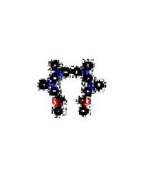 c1ccc(-c2ccc(-c3ccc(N(c4ccccc4)c4ccc(N(c5ccccc5)c5ccc(-c6ccc(N(c7ccccc7)c7ccc(N(c8ccccc8)c8ccc(-c9ccc(-c%10ccccc%10)o9)cc8)cc7)cc6)cc5)cc4)cc3)o2)cc1